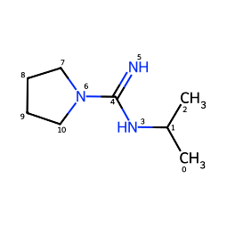 CC(C)NC(=N)N1CCCC1